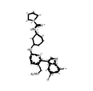 CC(=O)NCc1ccc(NC2CCCC(NC(=O)N3CCCC3)C2)nc1-c1c[nH]c2c(F)cc(F)cc12